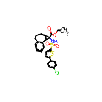 CCOC(=O)C1(NS(=O)(=O)c2ccc(-c3ccc(Cl)cc3)s2)C2CCCc3ccccc3C21